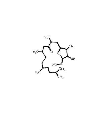 CC(C)CCC(C)CCC(C)CC(=O)N(C)CC1OC(CO)C(O)C1O